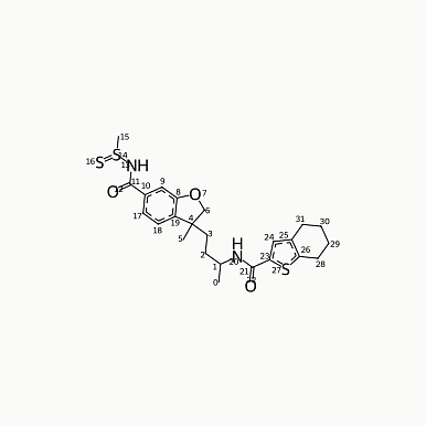 CC(CCC1(C)COc2cc(C(=O)NS(C)=S)ccc21)NC(=O)c1cc2c(s1)CCCC2